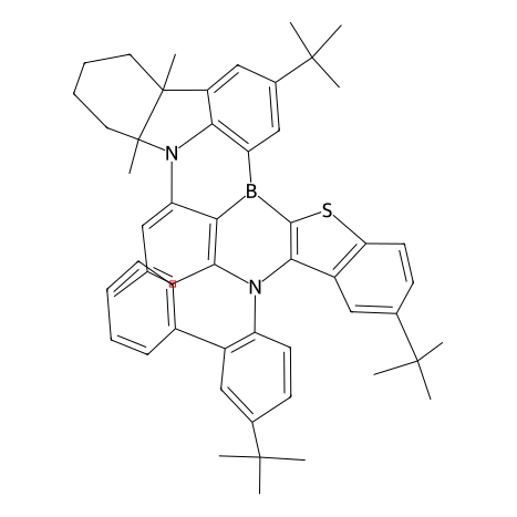 Cc1cc2c3c(c1)N1c4c(cc(C(C)(C)C)cc4C4(C)CCCCC14C)B3c1sc3ccc(C(C)(C)C)cc3c1N2c1ccc(C(C)(C)C)cc1-c1ccccc1